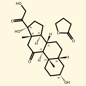 C[C@]12CC[C@@H](O)C[C@H]1CC[C@@H]1[C@@H]2C(=O)C[C@@]2(C)[C@H]1CC[C@]2(O)C(=O)CO.O=C1CCCO1